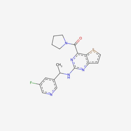 CC(Nc1nc(C(=O)N2CCCC2)c2sccc2n1)c1cncc(F)c1